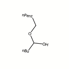 CCCCCCOC(O)CCCC